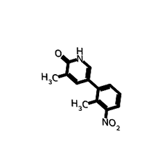 Cc1c(-c2c[nH]c(=O)c(C)c2)cccc1[N+](=O)[O-]